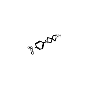 O=[N+]([O-])c1ccc(N2CC3(CNC3)C2)cc1